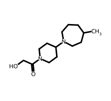 CC1CCCN(C2CCN(C(=O)CO)CC2)CC1